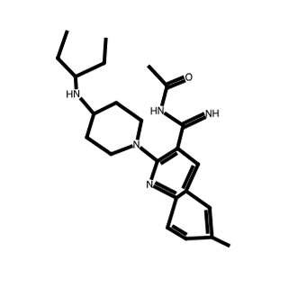 CCC(CC)NC1CCN(c2nc3ccc(C)cc3cc2C(=N)NC(C)=O)CC1